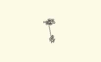 CCCC[C@@H](C(=O)O)N(CCCCCCCCCCCCCC(COC(=O)c1c(F)c(F)c(F)c(F)c1F)C(C)=O)C(=O)[C@H](C)NC(=O)[C@@H](NC(=O)c1ccccc1)C(C)C